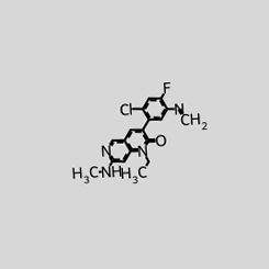 C=Nc1cc(-c2cc3cnc(NC)cc3n(CC)c2=O)c(Cl)cc1F